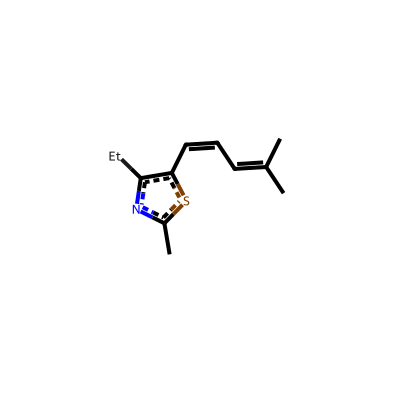 CCc1nc(C)sc1/C=C\C=C(C)C